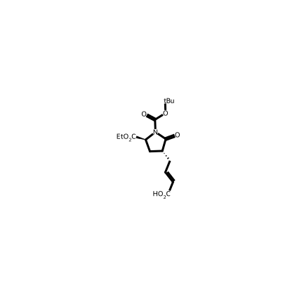 CCOC(=O)[C@@H]1C[C@@H](C/C=C/C(=O)O)C(=O)N1C(=O)OC(C)(C)C